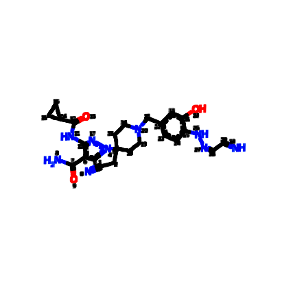 N#CCC1(n2cc(C(N)=O)c(NC(=O)C3CC3)n2)CCN(Cc2ccc(N/N=C\C=N)c(O)c2)CC1